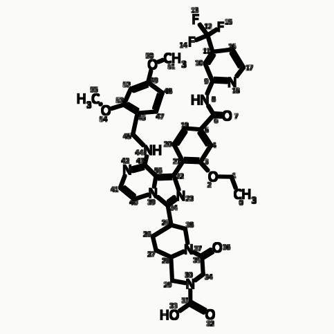 CCOc1cc(C(=O)Nc2cc(C(F)(F)F)ccn2)ccc1-c1nc(C2CCC3CN(C(=O)O)CC(=O)N3C2)n2ccnc(NCc3ccc(OC)cc3OC)c12